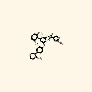 Cc1cccc(C)c1-c1cc(Oc2ccc(C3COCCN3C)cc2)nc(NS(=O)(=O)c2cnn(C)c2)n1